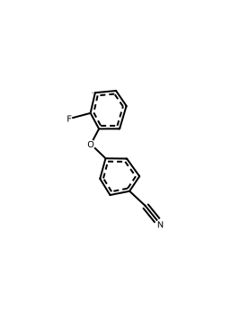 N#Cc1ccc(Oc2ccc[c]c2F)cc1